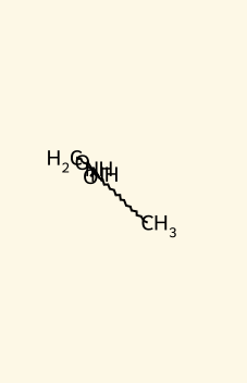 C=COCCNC(=O)NCCCCCCCCCCCCCCCCCC